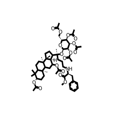 COC(=O)[C@H](Cc1ccccc1)NCCC[C@](C)(O[C@H]1O[C@H](COC(C)=O)[C@@H](OC(C)=O)[C@H](OC(C)=O)[C@H]1OC(C)=O)C1CC[C@]2(C)[C@@H]1C(OC(C)=O)CC1[C@@]3(C)CC[C@H](OC(C)=O)C(C)(C)C3CC[C@]12C